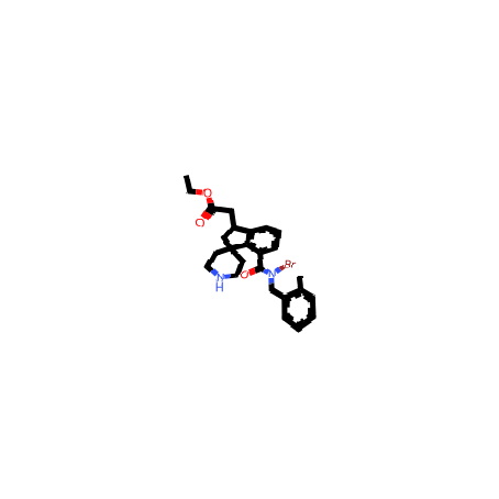 CCOC(=O)CC1CC2(CCNCC2)c2c(C(=O)N(Br)Cc3ccccc3C)cccc21